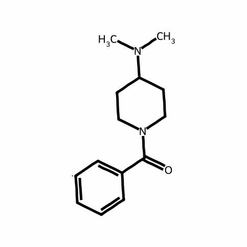 CN(C)C1CCN(C(=O)c2c[c]ccc2)CC1